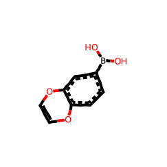 OB(O)c1ccc2c(c1)OC=CO2